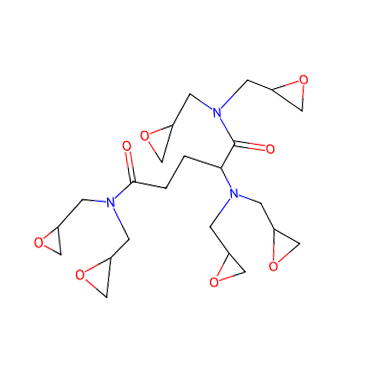 O=C(CCC(C(=O)N(CC1CO1)CC1CO1)N(CC1CO1)CC1CO1)N(CC1CO1)CC1CO1